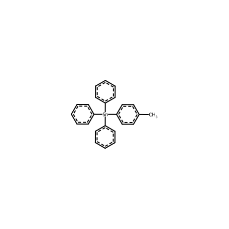 Cc1cc[c]([Sn]([c]2ccccc2)([c]2ccccc2)[c]2ccccc2)cc1